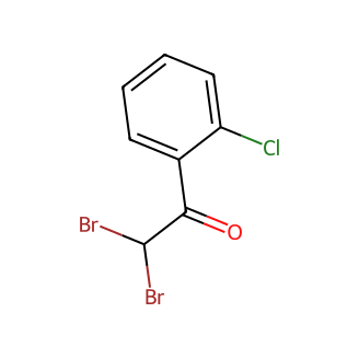 O=C(c1ccccc1Cl)C(Br)Br